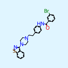 O=C(Nc1ccc(CCN2CCN(c3nsc4ccccc34)CC2)cc1)c1cccc(Br)c1